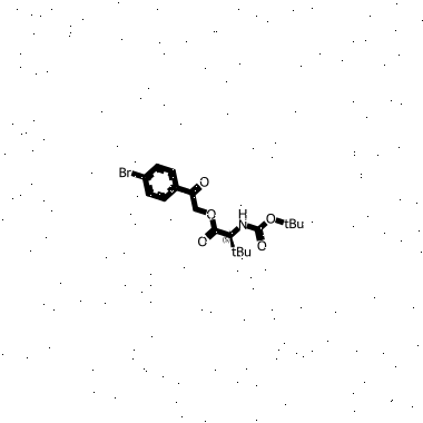 CC(C)(C)OC(=O)N[C@H](C(=O)OCC(=O)c1ccc(Br)cc1)C(C)(C)C